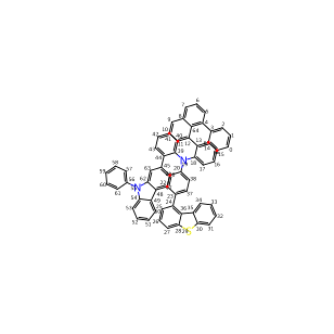 c1ccc(-c2cccc3cccc(-c4ccccc4N(c4ccc(-c5cccc6sc7ccccc7c56)cc4)c4ccccc4-c4ccc5c6ccccc6n(-c6ccccc6)c5c4)c23)cc1